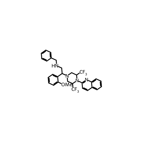 COc1ccccc1C(CNCc1ccccc1)N1CC(C(F)(F)F)N(c2ccc3ccccc3n2)C(C(F)(F)F)C1